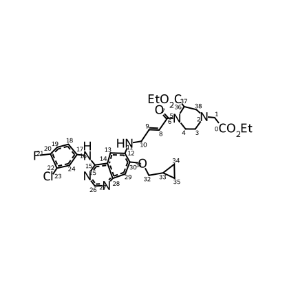 CCOC(=O)CN1CCN(C(=O)C=CCNc2cc3c(Nc4ccc(F)c(Cl)c4)ncnc3cc2OCC2CC2)C(C(=O)OCC)C1